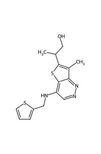 Cc1c(C(C)CO)sc2c(NCc3cccs3)cnnc12